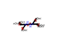 CCCCCCCCCCCOC(=O)CCCCCN(CCCCCCC(C)(C)C(=O)OC(CCCCCCCC)CCCCCCCC)CCNC(=O)/C=C/C(=O)NCCN(CCCCCCC(C)(C)C(=O)OC(CCCCCCCC)CCCCCCCC)CCCCCC(=O)OCCCCCCCCCCC